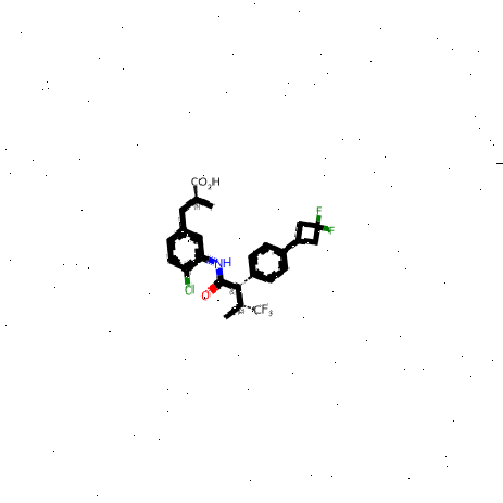 C[C@H]([C@H](C(=O)Nc1cc(C[C@H](C)C(=O)O)ccc1Cl)c1ccc(C2CC(F)(F)C2)cc1)C(F)(F)F